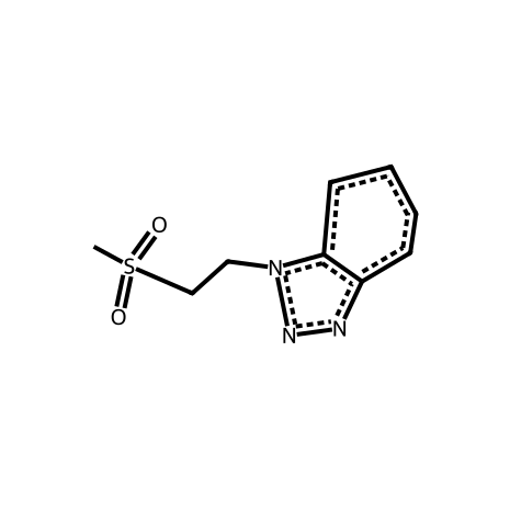 CS(=O)(=O)CCn1nnc2ccccc21